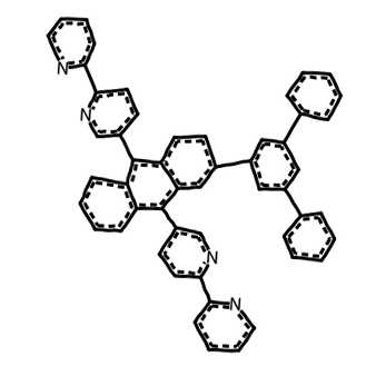 c1ccc(-c2cc(-c3ccccc3)cc(-c3ccc4c(-c5ccc(-c6ccccn6)nc5)c5ccccc5c(-c5ccc(-c6ccccn6)nc5)c4c3)c2)cc1